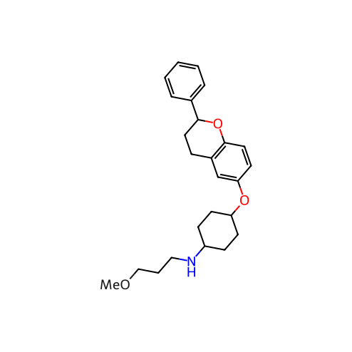 COCCCNC1CCC(Oc2ccc3c(c2)CCC(c2ccccc2)O3)CC1